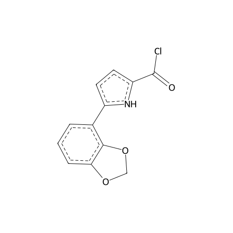 O=C(Cl)c1ccc(-c2cccc3c2OCO3)[nH]1